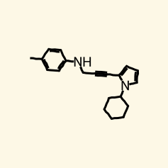 Cc1ccc(NCC#Cc2cccn2C2CCCCC2)cc1